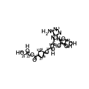 Nc1ncnc2c1nc(SCC(O)COc1ccc(C(=O)OCC(O)CO)cc1)n2[C@@H]1O[C@H](CO)[C@@H](O)[C@H]1O